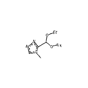 CCOC(OCC)c1nncn1C